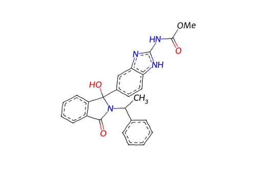 COC(=O)Nc1nc2cc(C3(O)c4ccccc4C(=O)N3C(C)c3ccccc3)ccc2[nH]1